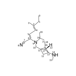 CC/C(C)=C/C=C(/C#N)N(CC12CC(NC)(C1)[C@H]2C)C(C)C